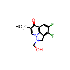 O=C(O)c1cn2c3c(c(F)c(F)cc3c1=O)CN2CO